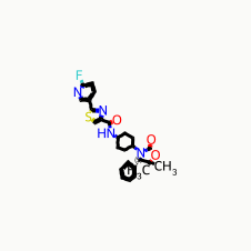 CC1(C)OC(=O)N(C2CCC(NC(=O)c3csc(-c4ccc(F)nc4)n3)CC2)[C@H]1c1ccccc1